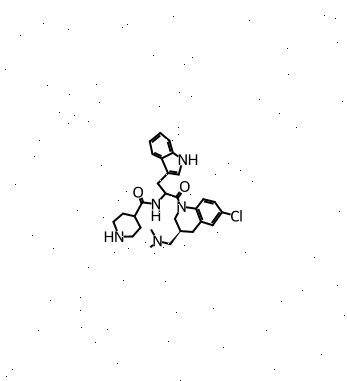 CN(C)C[C@@H]1Cc2cc(Cl)ccc2N(C(=O)C(Cc2c[nH]c3ccccc23)NC(=O)C2CCNCC2)C1